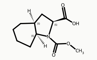 COC(=O)N1[C@H](C(=O)O)C[C@@H]2CCCC[C@@H]21